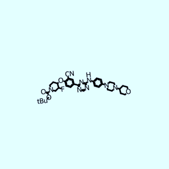 CC(C)(C)OC(=O)N1CCC(Oc2ccc(-c3ncnc(Nc4ccc(N5CCN(C6CCOCC6)CC5)cc4)n3)cc2C#N)C(F)C1